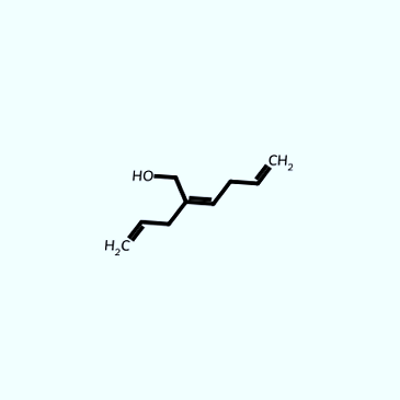 C=CCC=C(CO)CC=C